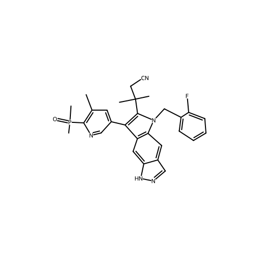 Cc1cc(-c2c(C(C)(C)CC#N)n(Cc3ccccc3F)c3cc4cn[nH]c4cc23)cnc1P(C)(C)=O